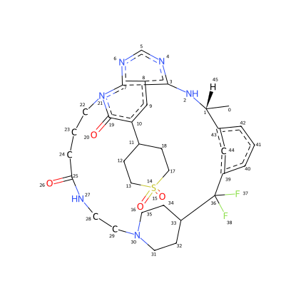 C[C@H]1Nc2ncnc3c2cc(C2CCS(=O)(=O)CC2)c(=O)n3CCCC(=O)NCCN2CCC(CC2)C(F)(F)c2cccc1c2